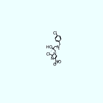 CN(Cc1ccc(Cl)cc1)C[C@](C)(O)Cn1cc([N+](=O)[O-])nc1Cl